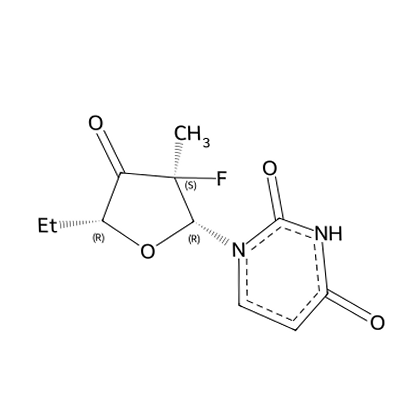 CC[C@H]1O[C@@H](n2ccc(=O)[nH]c2=O)[C@](C)(F)C1=O